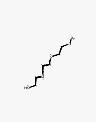 [CH2]C(C)OCCOCCOCCO